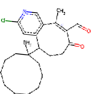 BC1(C2CCC(=O)/C(C=O)=C(/C)c3cnc(Cl)cc32)CCCCCCCCC1